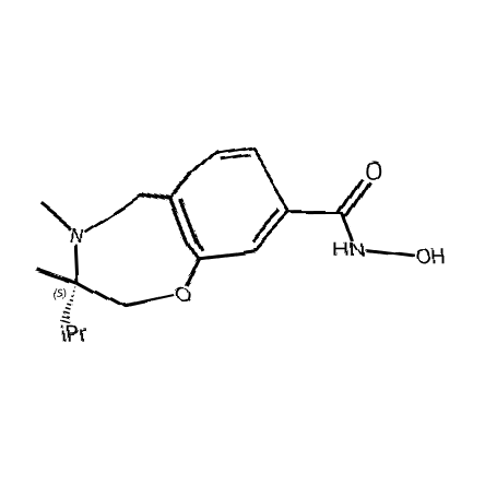 CC(C)[C@@]1(C)COc2cc(C(=O)NO)ccc2CN1C